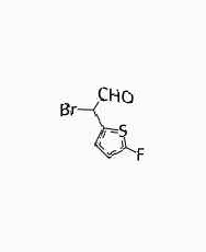 O=CC(Br)c1ccc(F)s1